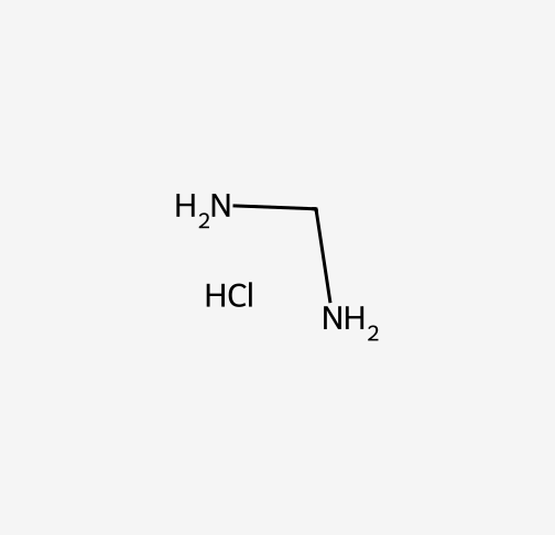 Cl.NCN